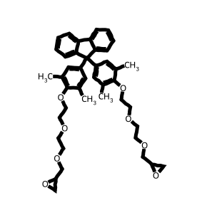 Cc1cc(C2(c3cc(C)c(OCCOCCOCC4CO4)c(C)c3)c3ccccc3-c3ccccc32)cc(C)c1OCCOCCOCC1CO1